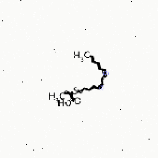 CCCCC/C=C\C/C=C\CCCCSC(CC)C(=O)O